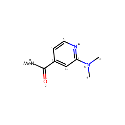 CNC(=O)c1ccnc(N(C)C)c1